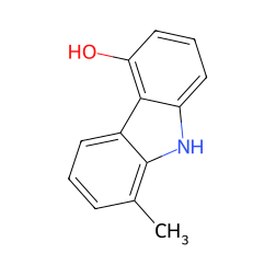 Cc1cccc2c1[nH]c1cccc(O)c12